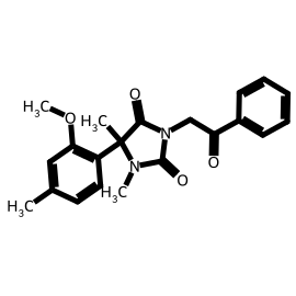 COc1cc(C)ccc1C1(C)C(=O)N(CC(=O)c2ccccc2)C(=O)N1C